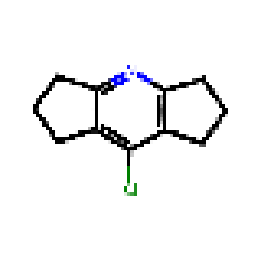 Clc1c2c(nc3c1CCC3)CCC2